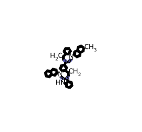 C=C1/C=C(c2ccc3c(c2)C(=C)/C=c2\c([nH]c4ccccc24)=C/N3c2ccc3ccccc3c2)\C=C/N(c2ccc3c(c2)C=CC(C)C3)c2ccccc21